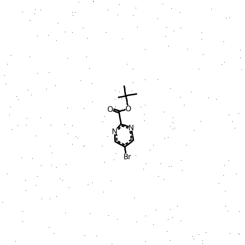 CC(C)(C)OC(=O)c1ncc(Br)cn1